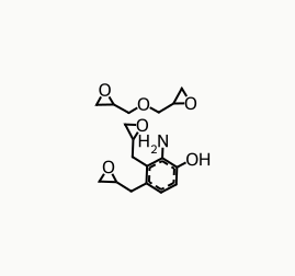 C(OCC1CO1)C1CO1.Nc1c(O)ccc(CC2CO2)c1CC1CO1